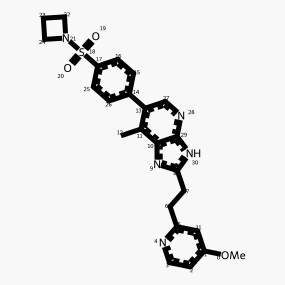 COc1ccnc(CCc2nc3c(C)c(-c4ccc(S(=O)(=O)N5CCC5)cc4)cnc3[nH]2)c1